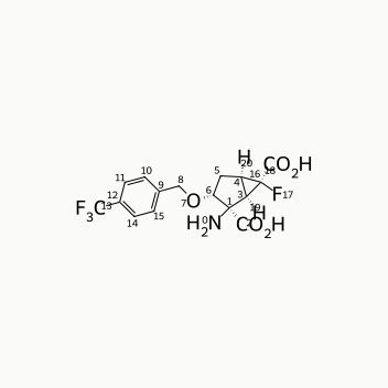 N[C@]1(C(=O)O)[C@H]2[C@@H](C[C@H]1OCc1ccc(C(F)(F)F)cc1)[C@]2(F)C(=O)O